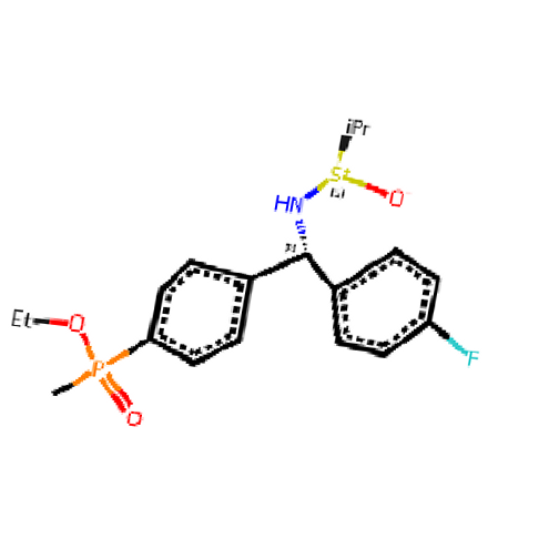 CCOP(C)(=O)c1ccc([C@H](N[S@+]([O-])C(C)C)c2ccc(F)cc2)cc1